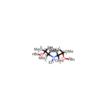 CCCCOC([SiH3])(OC)C(OC)(OC)N(CC)C(OC)(OC)C([SiH3])(OC)OCCCC